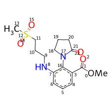 COC(=O)c1cccc(NCCCS(C)(=O)=O)c1N1CCCC1=O